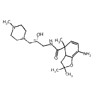 CN1CCN(C[C@H](O)CNC(=O)C2(C)C=CC(N)=C3OC(C)(C)CC32)CC1